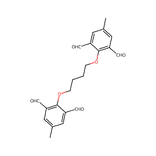 Cc1cc(C=O)c(OCCCCOc2c(C=O)cc(C)cc2C=O)c(C=O)c1